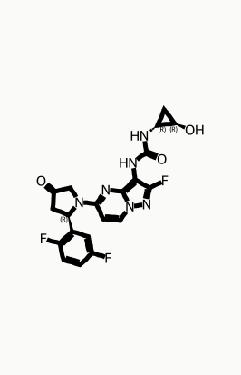 O=C1C[C@H](c2cc(F)ccc2F)N(c2ccn3nc(F)c(NC(=O)N[C@@H]4C[C@H]4O)c3n2)C1